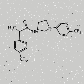 CC(C(=O)NC1CCN(c2ccc(C(F)(F)F)nc2)C1)c1ccc(C(F)(F)F)cc1